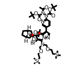 CC(=O)N(C(=O)OC(C)(C)C)N(C(=O)OC(C)(C)C)c1ccc(-c2cnn3c(N(COCC[Si](C)(C)C)COCC[Si](C)(C)C)c(Br)c(C4C[C@H]5CC[C@@H](C4)N5C(=O)OC(C)(C)C)nc23)cn1